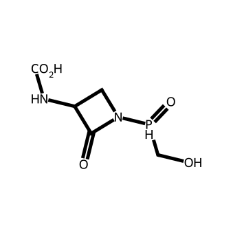 O=C(O)NC1CN([PH](=O)CO)C1=O